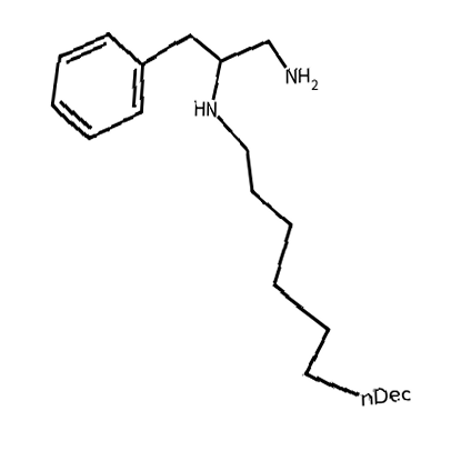 CCCCCCCCCCCCCCCCNC(CN)Cc1ccccc1